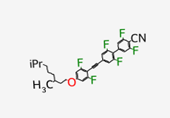 CC(C)CCCC(C)CCOc1cc(F)c(C#Cc2cc(F)c(-c3cc(F)c(C#N)c(F)c3)c(F)c2)c(F)c1